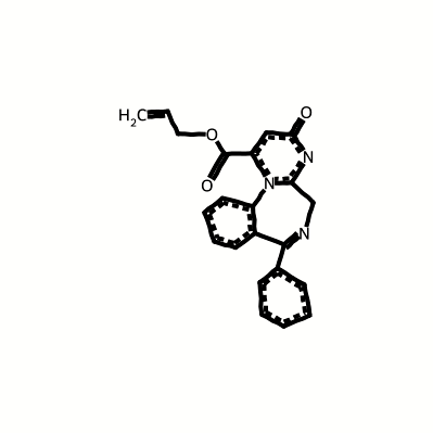 C=CCOC(=O)c1cc(=O)nc2n1-c1ccccc1C(c1ccccc1)=NC2